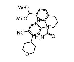 COC(OC)c1ccc2c(n1)[N+](C(N)=O)(c1cc(C3CCOCC3)c(C#N)cn1)CCC2